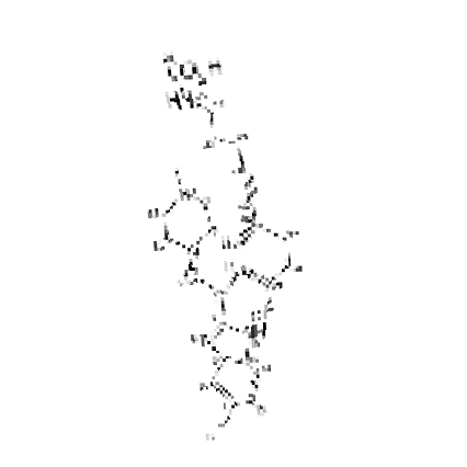 CN1CCC(OC(c2nc3cc(F)ccc3[nH]2)c2cc(C#CCCCNC(=O)O)ccc2F)CC1